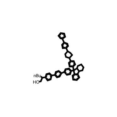 CCCCC(CO)c1ccc(-c2ccc(-c3ccc(C4(c5ccc(C6CCC(c7ccc(-c8ccccc8)cc7)CC6)cc5)c5ccccc5C5CCCCC54)cc3)cc2)cc1